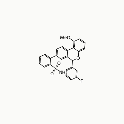 COc1cccc2c1-c1ccc(-c3ccccc3S(N)(=O)=O)cc1C(c1cccc(F)c1)O2